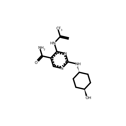 C=C(Nc1nc(N[C@H]2CC[C@H](O)CC2)ncc1C(N)=O)C(F)(F)F